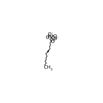 CCCCCCCCC#CCCCCCCC([C]=O)([N+](=O)[O-])[N+](=O)[O-]